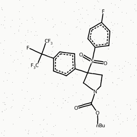 CCCCOC(=O)N1CCC(c2ccc(C(F)(C(F)(F)F)C(F)(F)F)cc2)(S(=O)(=O)c2ccc(F)cc2)C1